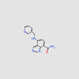 NC(=O)c1ccc(NCc2cccnc2)c2cncnc12